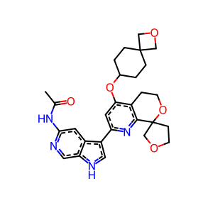 CC(=O)Nc1cc2c(-c3cc(OC4CCC5(CC4)COC5)c4c(n3)C3(CCOC3)OCC4)c[nH]c2cn1